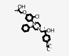 [C-]#[N+]c1ccc([C@](C)(O)CN2CCN(c3ccc(OC[C@@H](C)O)cc3Cl)[C@H](c3ccccc3)C2)cc1